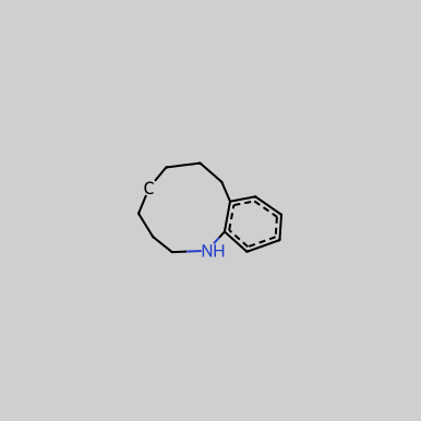 c1ccc2c(c1)CCCCCCCN2